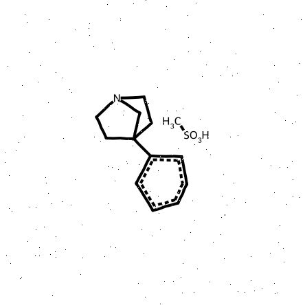 CS(=O)(=O)O.c1ccc(C23CCN(CC2)C3)cc1